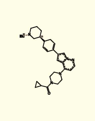 CC[C@@H](C)N1CCC[C@@H](C2C=CC(c3cc4c(N5CCN(C(=O)C6CC6)CC5)ccnn4c3)=CC2)C1